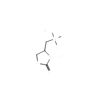 C[N+](C)(C)CC1COC(=O)N1.[Cl-]